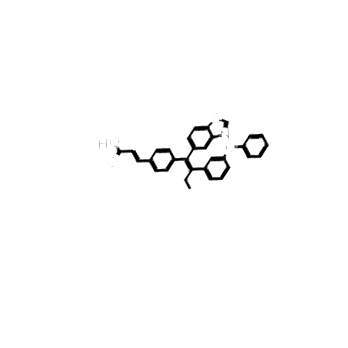 CCC(=C(c1ccc(C=CC(=O)O)cc1)c1ccc2scnc2c1)c1cccc(Oc2ccccc2)c1